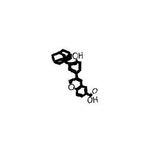 O=C(O)c1ccc2c(c1)C=C(c1ccc(O)c(C34CC5CC(CC(C5)C3)C4)c1)CO2